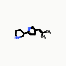 CC(C)=Cc1ccc(C2CCCNC2)nc1